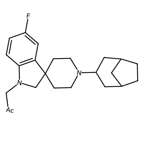 CC(=O)CN1CC2(CCN(C3CC4CCC(C4)C3)CC2)c2cc(F)ccc21